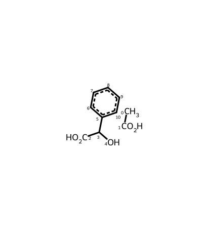 CC(=O)O.O=C(O)C(O)c1ccccc1